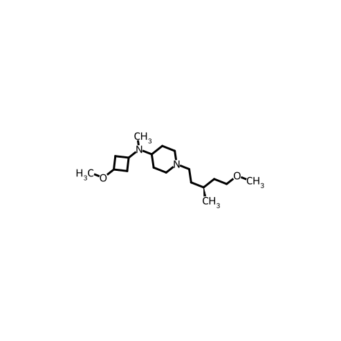 COCC[C@@H](C)CCN1CCC(N(C)C2CC(OC)C2)CC1